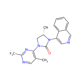 Cc1cnc(C(F)(F)F)nc1N1C[C@H](C#N)N(c2cncc3ccccc23)C1=O